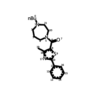 CCCCN1CCCN(C(=O)c2sc(-c3ccccc3)nc2C)CC1